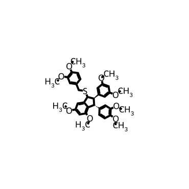 COc1cc(OC)cc([C@@H]2C(SCc3ccc(OC)c(OC)c3)c3cc(OC)cc(OC)c3[C@H]2c2ccc(OC)c(OC)c2)c1